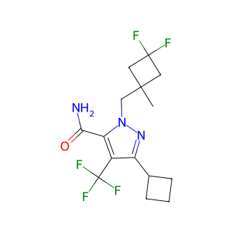 CC1(Cn2nc(C3CCC3)c(C(F)(F)F)c2C(N)=O)CC(F)(F)C1